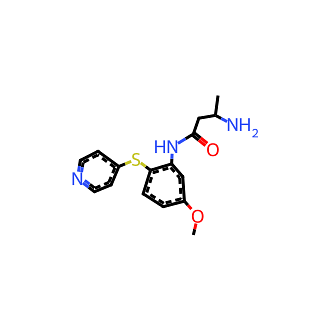 COc1ccc(Sc2ccncc2)c(NC(=O)CC(C)N)c1